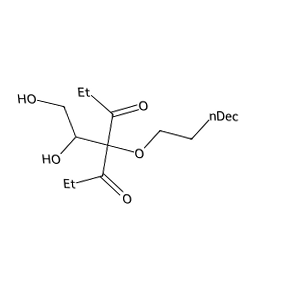 CCCCCCCCCCCCOC(C(=O)CC)(C(=O)CC)C(O)CO